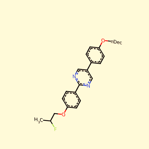 CCCCCCCCCCOc1ccc(-c2cnc(-c3ccc(OCC(C)F)cc3)nc2)cc1